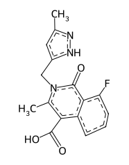 Cc1cc(Cn2c(C)c(C(=O)O)c3cccc(F)c3c2=O)[nH]n1